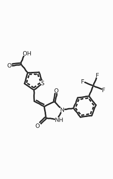 O=C1NN(c2cccc(C(F)(F)F)c2)C(=O)C1=Cc1cc(C(=O)O)cs1